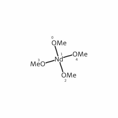 C[O][Nd]([O]C)([O]C)[O]C